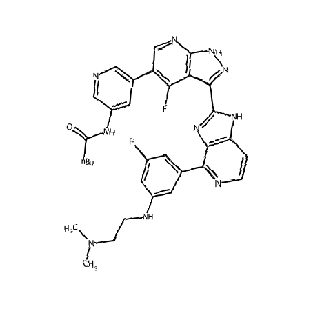 CCCCC(=O)Nc1cncc(-c2cnc3[nH]nc(-c4nc5c(-c6cc(F)cc(NCCN(C)C)c6)nccc5[nH]4)c3c2F)c1